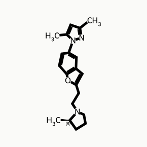 Cc1cc(C)n(-c2ccc3oc(CCN4CCC[C@H]4C)cc3c2)n1